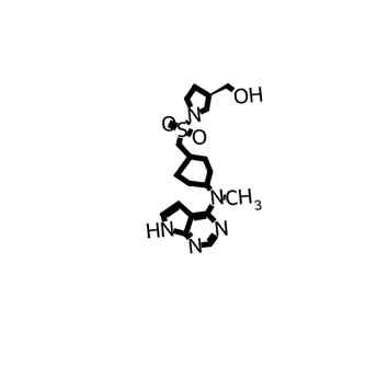 CN(c1ncnc2[nH]ccc12)C1CCC(CS(=O)(=O)N2CC[C@@H](CO)C2)CC1